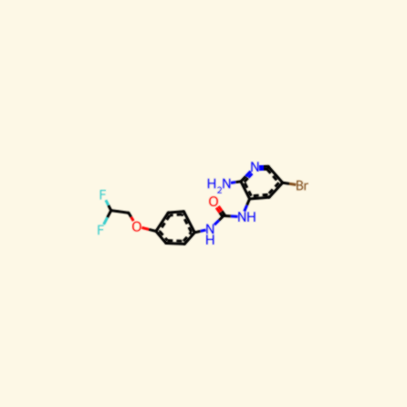 Nc1ncc(Br)cc1NC(=O)Nc1ccc(OCC(F)F)cc1